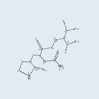 NC(=O)OC(CC1CCNC1=O)C(=O)COC(C(F)F)C(F)F